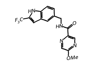 COc1cnc(C(=O)NCc2ccc3[nH]c(C(F)(F)F)cc3c2)cn1